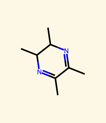 CC1=NC(C)C(C)N=C1C